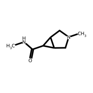 CNC(=O)C1C2CN(C)CC21